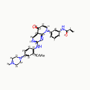 C=CC(=O)Nc1cccc(-n2ccc(=O)c3cnc(Nc4ccc(N5CCN(C)CC5)cc4OC)nc32)c1